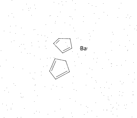 C1=CCC=C1.C1=CCC=C1.[Ba]